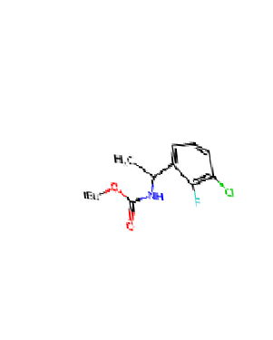 CC(NC(=O)OC(C)(C)C)c1cccc(Cl)c1F